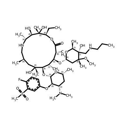 CCCNC[C@]1(O)[C@H](C)O[C@@H](O[C@H]2[C@H](C)[C@@H](O[C@@H]3O[C@H](C)C[C@H](N(C)C)[C@H]3Oc3ccc(F)c(S(C)(=O)=O)c3)[C@](C)(O)C[C@@H](C)CN[C@H](C)[C@@H](O)[C@](C)(O)[C@@H](CC)OC(=O)[C@@H]2C)C[C@@]1(C)OC